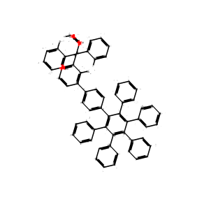 c1ccc(-c2c(-c3ccccc3)c(-c3ccccc3)c(-c3ccc(-c4cccc5c4Oc4ccccc4C54c5ccccc5Oc5ccccc54)cc3)c(-c3ccccc3)c2-c2ccccc2)cc1